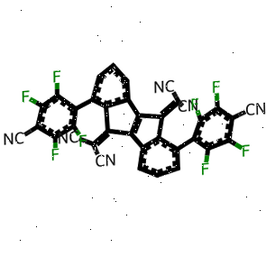 N#CC(C#N)=C1C2=C(C(=C(C#N)C#N)c3c2cccc3-c2c(F)c(F)c(C#N)c(F)c2F)c2cccc(-c3c(F)c(F)c(C#N)c(F)c3F)c21